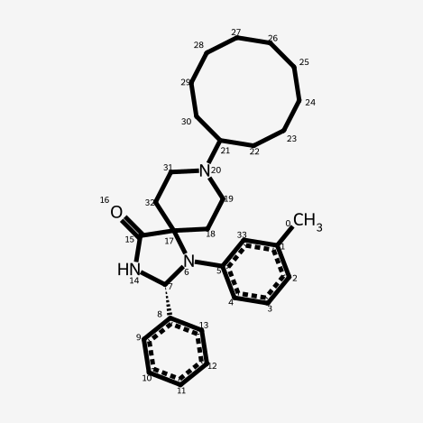 Cc1cccc(N2[C@H](c3ccccc3)NC(=O)C23CCN(C2CCCCCCCCC2)CC3)c1